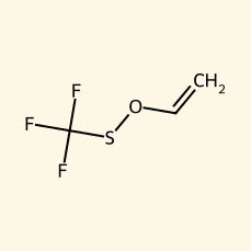 C=COSC(F)(F)F